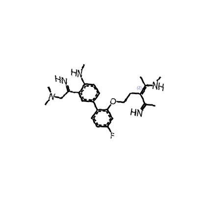 CN/C(C)=C(/CCOc1cc(F)ccc1-c1ccc(NC)c(C(=N)CN(C)C)c1)C(C)=N